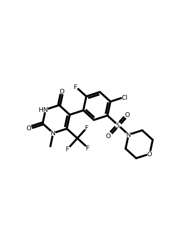 Cn1c(C(F)(F)F)c(-c2cc(S(=O)(=O)N3CCOCC3)c(Cl)cc2F)c(=O)[nH]c1=O